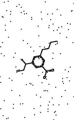 [CH2]C(CF)c1cc(CCCC)cc([N+](=O)[O-])c1